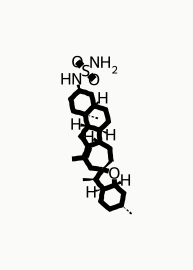 CC1=C2C[C@H]3[C@@H](CC[C@@H]4C[C@H](NS(N)(=O)=O)CC[C@@]43C)[C@@H]2CC[C@@]2(C1)O[C@@H]1C[C@H](C)CC[C@H]1[C@H]2C